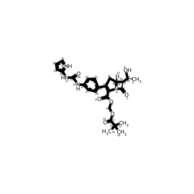 C[C@@H](O)[C@H]1C(=O)N2C(C(=O)OCOC(=O)C(C)(C)C)=C(c3ccc(NC(=O)Nc4ccc[nH]4)cc3)C[C@H]12